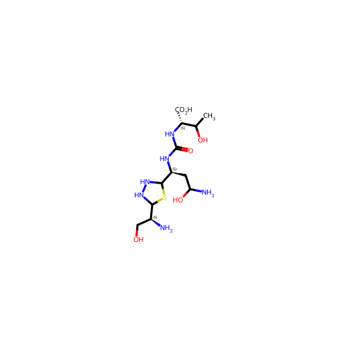 CC(O)[C@H](NC(=O)N[C@@H](CC(N)O)C1NNC([C@@H](N)CO)S1)C(=O)O